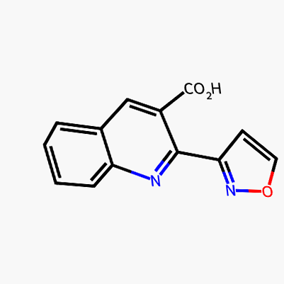 O=C(O)c1cc2ccccc2nc1-c1ccon1